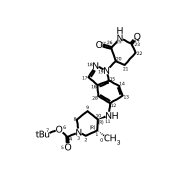 C[C@@H]1CN(C(=O)OC(C)(C)C)CC[C@H]1Nc1ccc2c(cnn2C2CCC(=O)NC2=O)c1